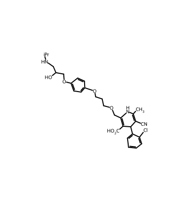 CC1=C(C#N)C(c2ccccc2Cl)C(C(=O)O)=C(COCCCOc2ccc(OCC(O)CNC(C)C)cc2)N1